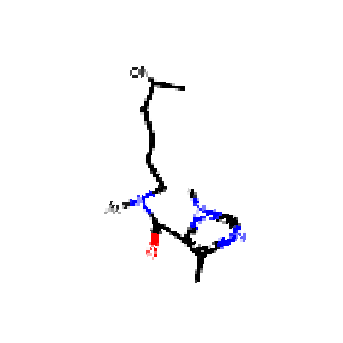 CC(=O)N(CCCCC(C)N=O)C(=O)c1c(C)ncn1C